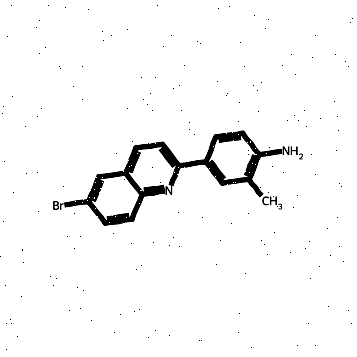 Cc1cc(-c2ccc3cc(Br)ccc3n2)ccc1N